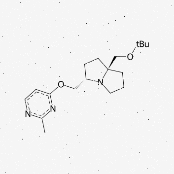 Cc1nccc(OC[C@@H]2CC[C@]3(COC(C)(C)C)CCCN23)n1